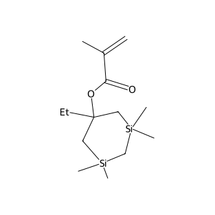 C=C(C)C(=O)OC1(CC)C[Si](C)(C)C[Si](C)(C)C1